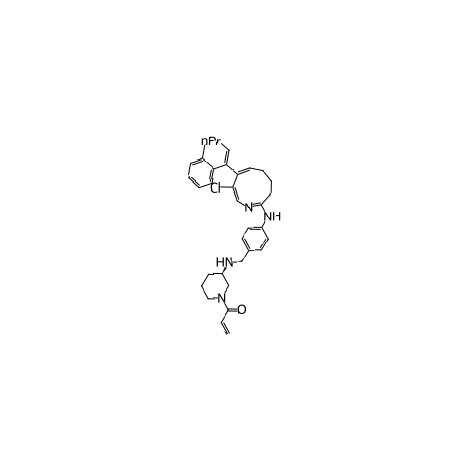 C=CC(=O)N1CCC[C@@H](NCc2ccc(N/C3=N/C=C(Cl)\C(C(=C\CCC)\c4ccccc4C)=C/CCC3)cc2)C1